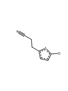 N#CCCc1ccc(Cl)s1